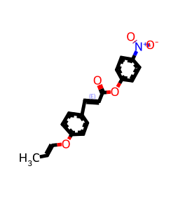 CC=COc1ccc(/C=C/C(=O)Oc2ccc([N+](=O)[O-])cc2)cc1